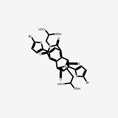 CCCCCCCCCCC(CCCCCCCC)Cn1c(=O)c2cc(-c3ccc(Br)s3)c(c1=O)c1c3cc(-c4ccc(Br)s4)c(c(=O)n(CC(CCCCCCCC)CCCCCCCCCC)c3=O)c21